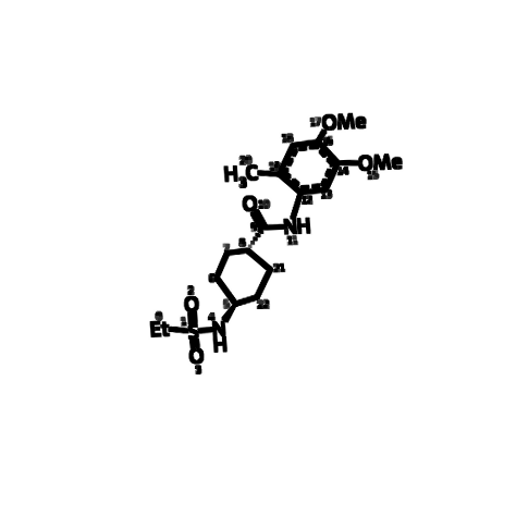 CCS(=O)(=O)N[C@H]1CC[C@H](C(=O)Nc2cc(OC)c(OC)cc2C)CC1